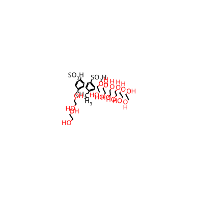 Cc1ccc(S(=O)(=O)O)cc1.Cc1ccc(S(=O)(=O)O)cc1.OCCO.OCCO.OCCO.OCCO.OCCO.OCCO.OCCO.OCCO